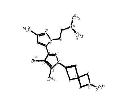 Cc1cc(-c2nn(C3CC4(C3)CN(C(=O)O)C4)c(C)c2Br)n(CCN(C)C)n1